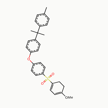 COC1=CC=C(S(=O)(=O)c2ccc(Oc3ccc(C(C)(C)c4ccc(C)cc4)cc3)cc2)CC1